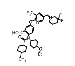 CCO[C@H]1CC[C@H](N(c2ccc(Oc3ncc(CN4CCCC(F)(F)C4)cc3C(F)(F)F)cc2C(=O)O)C(=O)[C@H]2CC[C@H](C)CC2)CC1